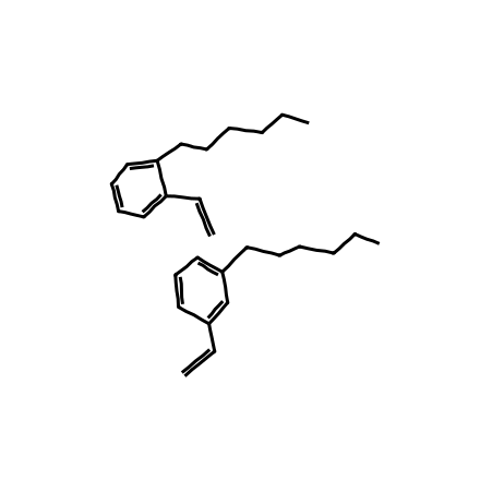 C=Cc1cccc(CCCCCC)c1.C=Cc1ccccc1CCCCCC